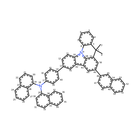 CC1(C)c2ccccc2-n2c3ccc(-c4ccc(N(c5cccc6ccccc56)c5cccc6ccccc56)cc4)cc3c3cc(-c4ccc5ccccc5c4)cc1c32